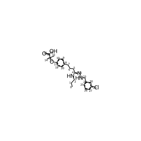 CCCN/C(CCCc1ccc(OC(C)(C)C(=O)O)cc1)=N\NCc1cccc(Cl)c1